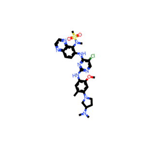 COc1cc(N2CCC(N(C)C)C2)c(C)cc1Nc1ncc(Cl)c(Nc2ccc3nccnc3c2N(C)S(C)(=O)=O)n1